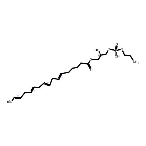 CCCC/C=C/C/C=C/C/C=C/C/C=C/CCCCC(=O)OC[C@@H](O)COP(=O)(O)OCCN